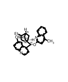 CCC1CN2CC[C@@H]1C[C@H]2[C@H](Oc1cc(C)c2ccccc2n1)c1ccnc2ccc(OC)cc12